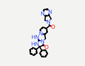 N=C1NC(c2ccccc2)(c2ccccc2)C(=O)N1Cc1cc(C(=O)N2Cc3nccnc3C2)ccn1